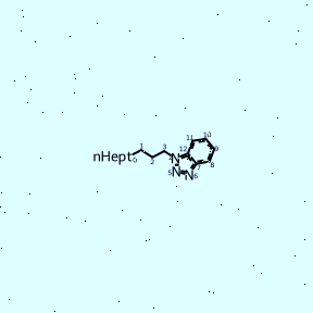 CCCCCCCCCCn1nnc2ccccc21